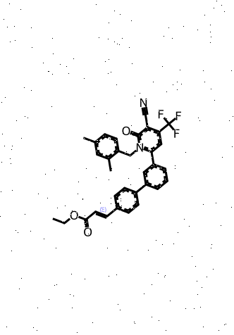 CCOC(=O)/C=C/c1ccc(-c2cccc(-c3cc(C(F)(F)F)c(C#N)c(=O)n3Cc3ccc(C)cc3C)c2)cc1